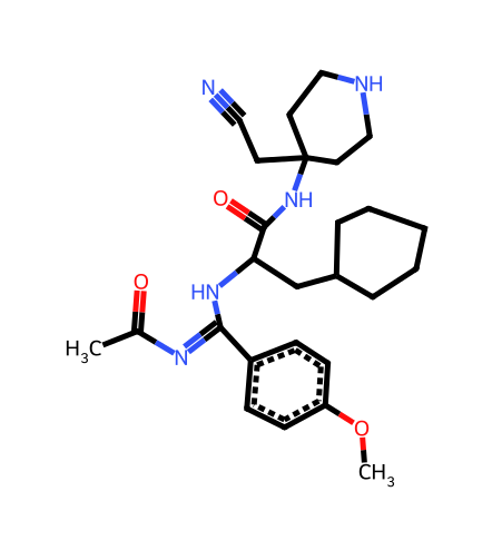 COc1ccc(C(=NC(C)=O)NC(CC2CCCCC2)C(=O)NC2(CC#N)CCNCC2)cc1